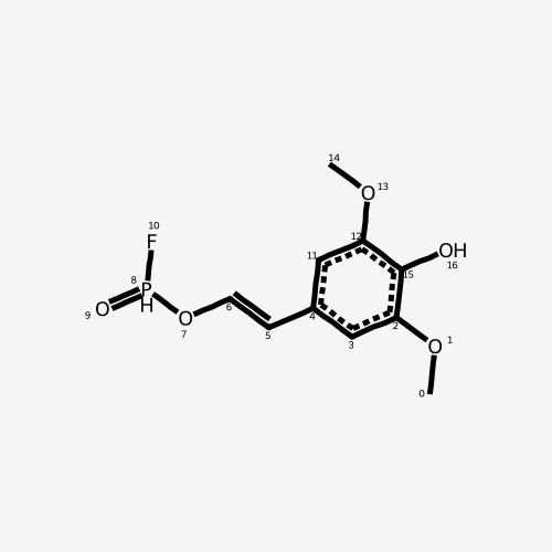 COc1cc(C=CO[PH](=O)F)cc(OC)c1O